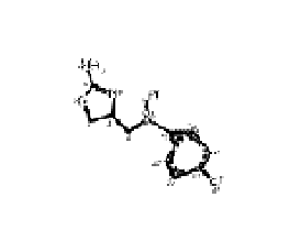 CC(C)N(CC1COC(N)=N1)c1ccc(Cl)cc1